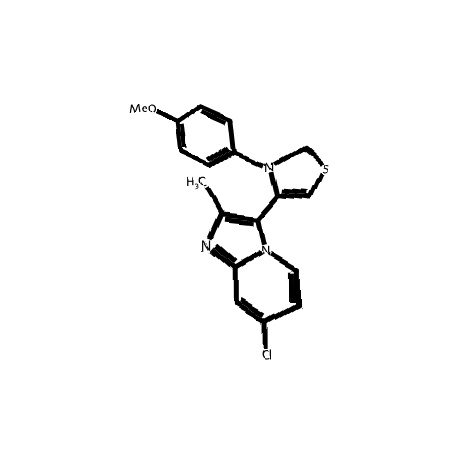 COc1ccc(N2CSC=C2c2c(C)nc3cc(Cl)ccn23)cc1